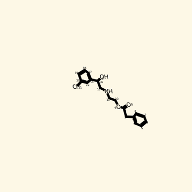 O=C(Cc1ccccc1)OCCNCC(O)c1cccc(Cl)c1